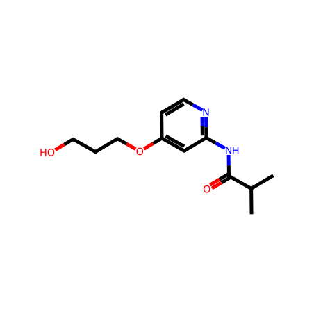 CC(C)C(=O)Nc1cc(OCCCO)ccn1